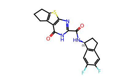 O=C(N[C@H]1CCc2cc(F)c(F)cc21)c1nc2sc3c(c2c(=O)[nH]1)CCC3